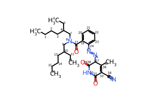 CCCCC(CC)CN(CC(CC)CCCC)C(=O)c1ccccc1/N=N/C1C(=O)NC(=O)C(C#N)=C1C